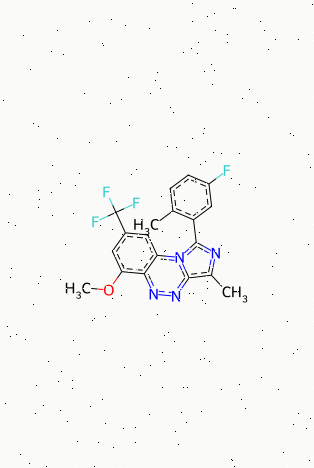 COc1cc(C(F)(F)F)cc2c1nnc1c(C)nc(-c3cc(F)ccc3C)n12